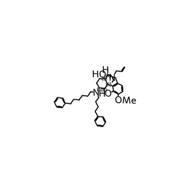 C=CCN1CC[C@]23c4c5ccc(OC)c4O[C@H]2[C@@H](N(CCCCCCc2ccccc2)CCCCc2ccccc2)CC[C@@]3(O)[C@H]1C5